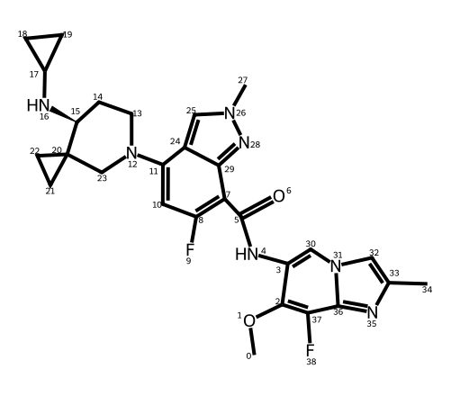 COc1c(NC(=O)c2c(F)cc(N3CC[C@H](NC4CC4)C4(CC4)C3)c3cn(C)nc23)cn2cc(C)nc2c1F